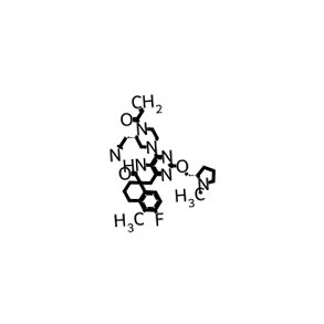 C=CC(=O)N1CCN(c2nc(OC[C@@H]3CCCN3C)nc3c2NC(=O)C2(CCCc4c2ccc(F)c4C)C3)C[C@@H]1CC#N